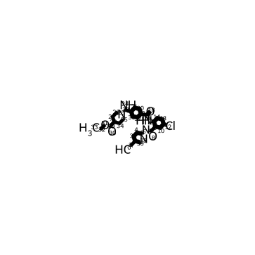 C#Cc1ccc(NC(=O)c2cc(Cl)ccc2NC(=O)c2ccc(C(=N)N3CCC(C(=O)OCC)CC3)cc2)nc1